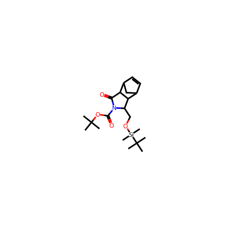 CC(C)(C)OC(=O)N1C(=O)C2C3C=CC(C3)C2C1CO[Si](C)(C)C(C)(C)C